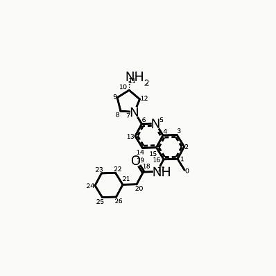 Cc1ccc2nc(N3CC[C@H](N)C3)ccc2c1NC(=O)CC1CCCCC1